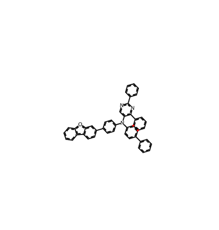 c1ccc(-c2ccc(N(c3ccc(-c4ccc5c(c4)oc4ccccc45)cc3)c3cnc(-c4ccccc4)nc3-c3ccccc3)cc2)cc1